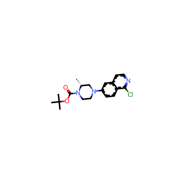 C[C@@H]1CN(c2ccc3c(Cl)nccc3c2)CCN1C(=O)OC(C)(C)C